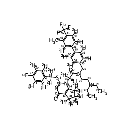 [2H]c1c([2H])c(C([2H])([2H])Sc2nc(=O)c3c(n2C([2H])([2H])C(=O)N(CCN(CC)CC)Cc2c([2H])c([2H])c(-c4c([2H])c([2H])c(C(F)(F)F)c(C)c4[2H])c([2H])c2[2H])C([2H])([2H])C([2H])([2H])C3([2H])[2H])c([2H])c([2H])c1F